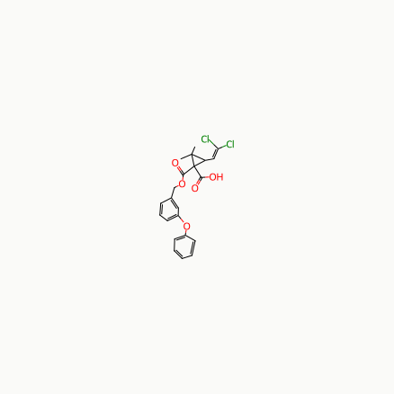 CC1(C)C(C=C(Cl)Cl)C1(C(=O)O)C(=O)OCc1cccc(Oc2ccccc2)c1